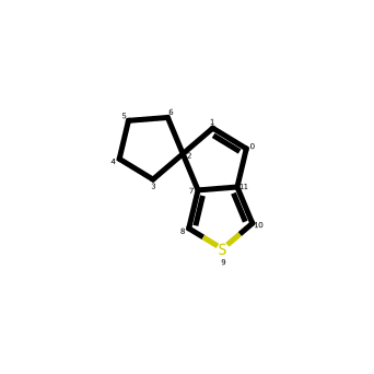 C1=CC2(CCCC2)c2cscc21